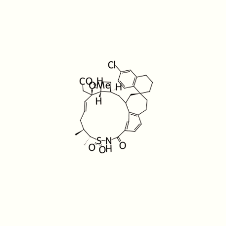 CO[C@]1(CC(=O)O)/C=C/C[C@H](C)[C@@H](C)S(=O)(=O)NC(=O)c2ccc3c(c2)C(C[C@@H]2CC[C@H]21)C[C@@]1(CCCc2cc(Cl)ccc21)CC3